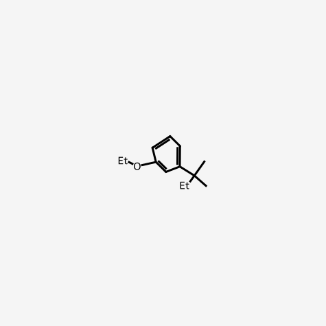 CCOc1cccc(C(C)(C)CC)c1